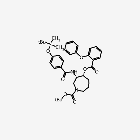 CC(C)(C)OC(=O)N1CCC[C@@H](OC(=O)c2ccccc2Oc2ccccc2)[C@H](NC(=O)c2ccc(O[Si](C)(C)C(C)(C)C)cc2)C1